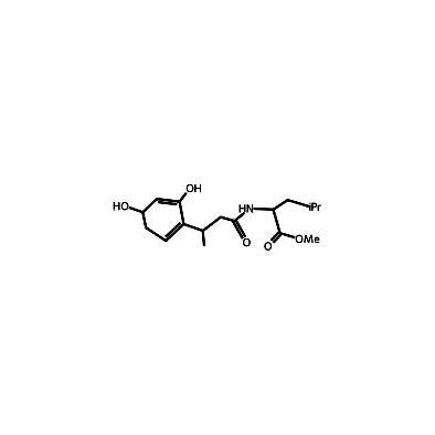 COC(=O)C(CC(C)C)NC(=O)CC(C)C1=CCC(O)C=C1O